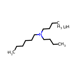 [CH2]CCCCCN(CCCC)CCCC.[LiH]